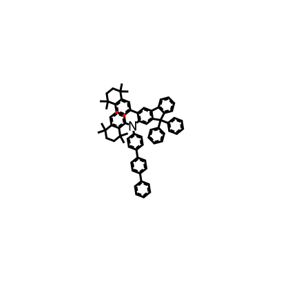 CC1(C)CCC(C)(C)c2cc(-c3cc4c(cc3N(c3ccc(-c5ccc(-c6ccccc6)cc5)cc3)c3cccc5c3C(C)(C)CCC5(C)C)C(c3ccccc3)(c3ccccc3)c3ccccc3-4)ccc21